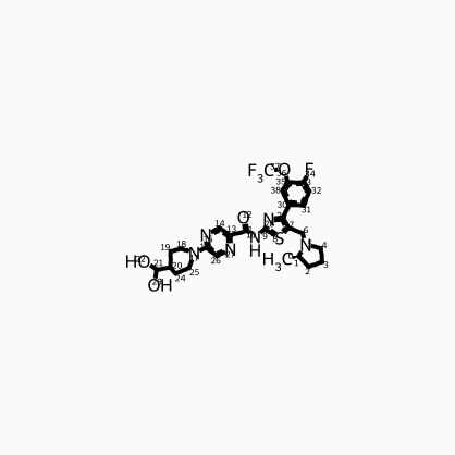 C[C@@H]1CCCN1Cc1sc(NC(=O)c2cnc(N3CCC(C(O)O)CC3)cn2)nc1-c1ccc(F)c(OC(F)(F)F)c1